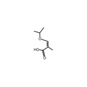 CC(=COC(C)C)C(=O)O